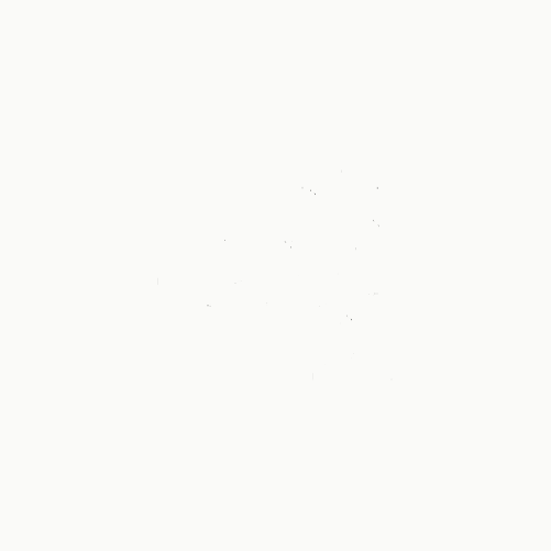 O=C(O)N1CC(c2nccnc2N2CCC(CO)CC2)C1